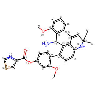 COc1cc(OC(=O)c2cscn2)ccc1-c1ccc2c(c1C(N)c1ccccc1OC)C(C)=CC(C)(C)N2